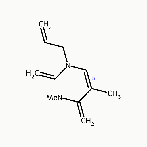 C=CCN(C=C)/C=C(/C)C(=C)NC